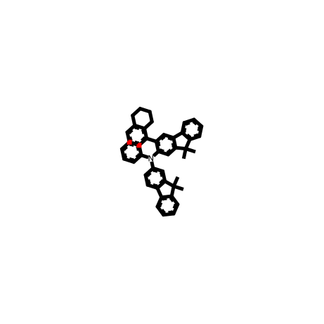 CC1(C)c2ccccc2-c2ccc(N(c3ccccc3)c3cc4c(cc3-c3cccc5c3CCCC5)-c3ccccc3C4(C)C)cc21